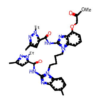 CCn1nc(C)cc1C(=O)Nc1nc2cc(C)ccc2n1CCCCn1c(NC(=O)c2cc(C)nn2CC)nc2c(OCC(=O)OC)cccc21